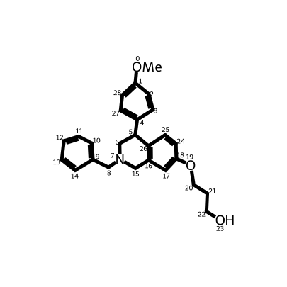 COc1ccc(C2CN(Cc3ccccc3)Cc3cc(OCCCO)ccc32)cc1